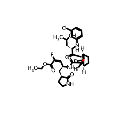 CCOC(=O)/C(F)=C\[C@H](C[C@@H]1CCNC1=O)NC(=O)[C@H]1[C@@H]2CC[C@@H](CC2(F)F)N1C(=O)[C@H](CC(C)C)Nc1cccc(Cl)c1